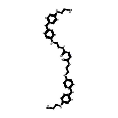 O=C(/C=C\C(=O)OCCOc1ccc(Cc2ccc(OCCO)cc2)cc1)OCCOc1ccc(Cc2ccc(OCCO)cc2)cc1